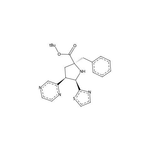 CC(C)(C)OC(=O)[C@]1(Cc2ccccc2)C[C@H](c2cnccn2)[C@H](c2nccs2)N1